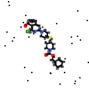 CNC(=O)c1ccc(N2CCC(SC3CCN(C(=O)OCc4ccccc4)CC3)CC2)nc1Cl